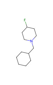 FC1CCN(CC2CCCCC2)CC1